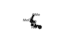 COCCCOc1cc(C(=O)N(CC2CNCC2Cc2ccccc2)C2CCC2)ccc1OC